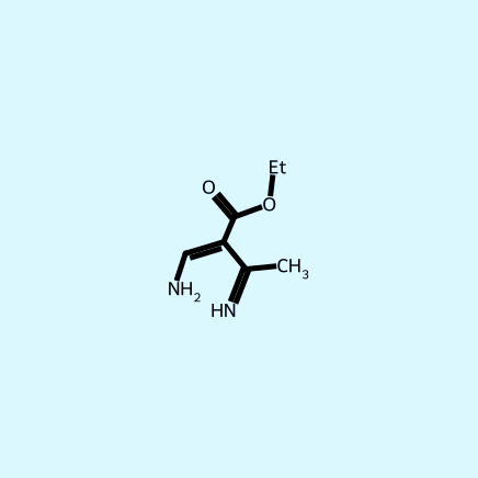 CCOC(=O)/C(=C/N)C(C)=N